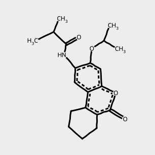 CC(C)Oc1cc2oc(=O)c3c(c2cc1NC(=O)C(C)C)CCCC3